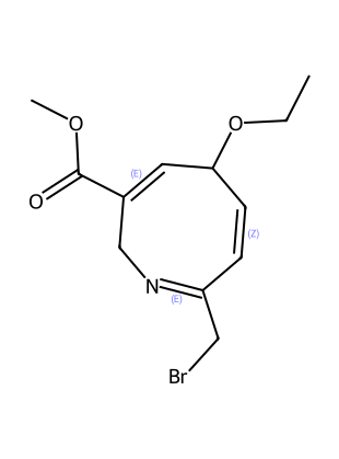 CCOC1/C=C\C(CBr)=N/C/C(C(=O)OC)=C\1